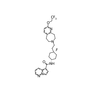 O=C(N[C@H]1CC[C@](F)(CCN2CCc3ccc(OCC(F)(F)F)nc3CC2)CC1)c1ccn2ncccc12